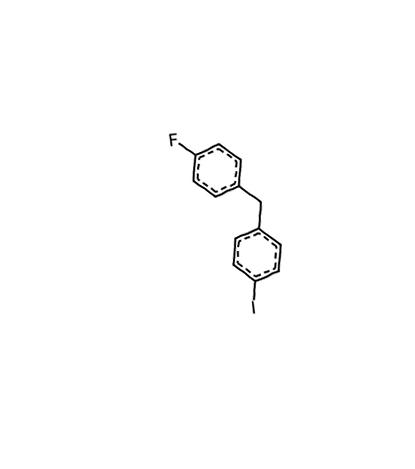 Fc1ccc(Cc2ccc(I)cc2)cc1